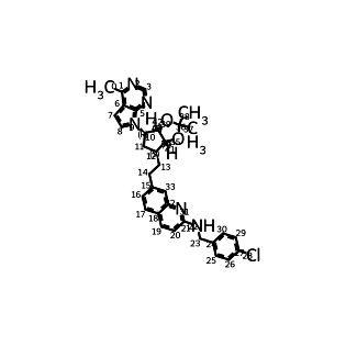 Cc1ncnc2c1ccn2[C@@H]1C[C@H](CCc2ccc3ccc(NCc4ccc(Cl)cc4)nc3c2)[C@H]2OC(C)(C)O[C@H]21